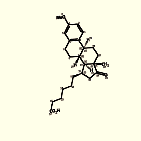 COc1ccc2c(c1)CC[C@H]1[C@@H]3[C@H](CCCCCC(=O)O)CC(=O)[C@@]3(C)CC[C@H]21